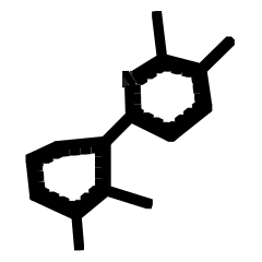 Cc1ccc(-c2cccc(C)c2C)nc1C